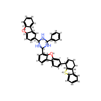 C1=C(c2ccc3c(c2)oc2c(C4NC(c5ccccc5)NC(c5ccc6oc7ccccc7c6c5)N4)cccc23)c2sc3ccccc3c2CC1